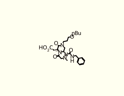 CCCCOCCCN1CC2N(C(=O)CN(C)N2C(=O)NCc2ccccc2)[C@@H](CC(=O)O)C1=O